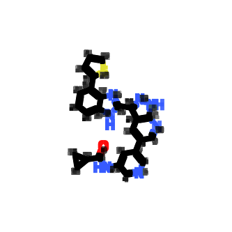 O=C(Nc1cncc(-c2cnc3[nH]nc(-c4nc5c(-c6cccs6)cccc5[nH]4)c3c2)c1)C1CC1